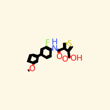 COc1cccc(-c2ccc(NC(=O)c3cscc3C(=O)O)c(F)c2)c1